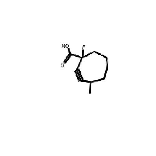 CC1C#CC(F)(C(=O)O)CCCC1